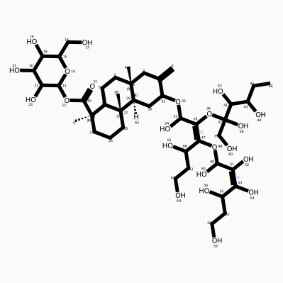 C=C1C[C@@]2(C)CCC3[C@](C)(C(=O)OC4OC(CO)C(O)C(O)C4O)CCC[C@@]3(C)[C@@H]2CC1OC(O)/C(OC(O)(CO)C(O)C(O)CC)=C(/OC(O)/C(O)=C(/O)C(O)CCO)C(O)CCO